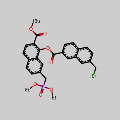 CCOP(=O)(Cc1ccc2ccc(C(=O)OC(C)(C)C)c(OC(=O)c3ccc4ccc(CBr)cc4c3)c2c1)OCC